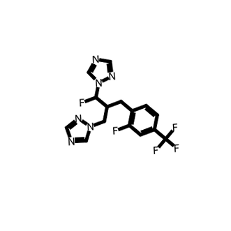 Fc1cc(C(F)(F)F)ccc1CC(Cn1cncn1)C(F)n1cncn1